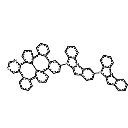 c1ccc2c(c1)cc1n(-c3ccc4cc5n(-c6ccc7c8cccc9c8-c8c(cccc8c8ncncc8c8ccccc98)c8ccccc8c7c6)c6ccccc6n5c4c3)c3ccccc3n21